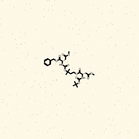 COC(=O)C[C@H](NC(=O)OC(C)(C)C)C(=O)OCCC(C)(C)OC(=O)N[C@@H](CC(=O)OC)C(=O)OCc1ccccc1